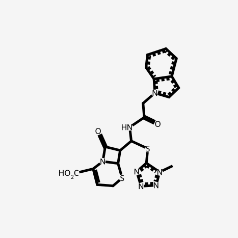 Cn1nnnc1SC(NC(=O)Cn1ccc2ccccc21)C1C(=O)N2C(C(=O)O)=CCSC12